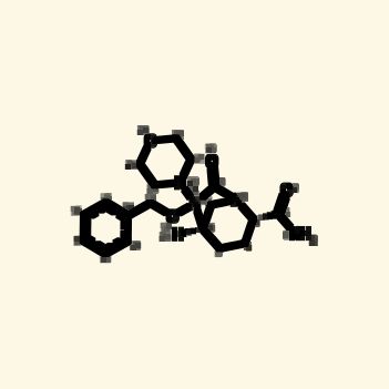 NC(=O)[C@@H]1CC[C@@H]2CN1C(=O)[N+]2(OCc1ccccc1)N1CCOCC1